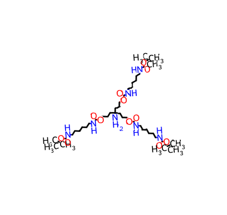 CC(C)(C)OC(=O)NCCCCCCNC(=O)OCCCC(N)(CCCOC(=O)NCCCCCCNC(=O)OC(C)(C)C)CCCOC(=O)NCCCCCCNC(=O)OC(C)(C)C